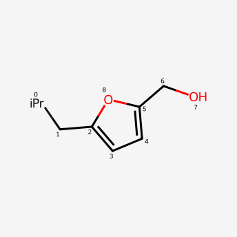 CC(C)Cc1ccc(CO)o1